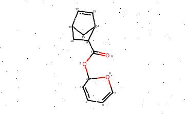 O=C(OC1C=CC=CO1)C1CC2C=CC1C2